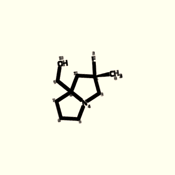 C[C@@]1(F)CN2CCCC2(CO)C1